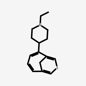 CCN1CCC(C2=CC=CC3=CSC=C2C3)CC1